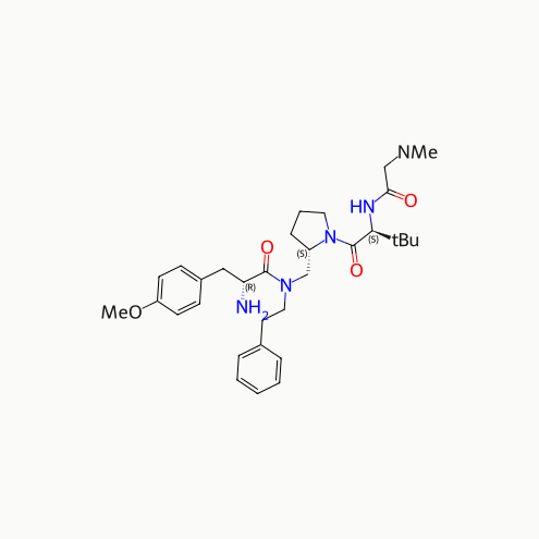 CNCC(=O)N[C@H](C(=O)N1CCC[C@H]1CN(CCc1ccccc1)C(=O)[C@H](N)Cc1ccc(OC)cc1)C(C)(C)C